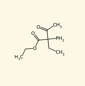 CCOC(=O)C(P)(CC)C(C)=O